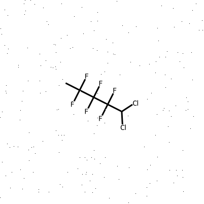 CC(F)(F)C(F)(F)C(F)(F)C(Cl)Cl